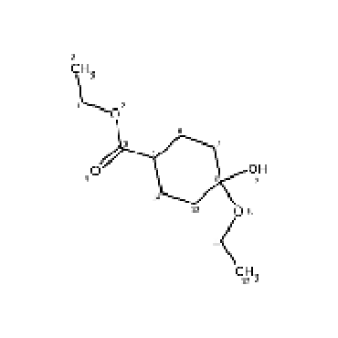 CCOC(=O)C1CCC(O)(OCC)CC1